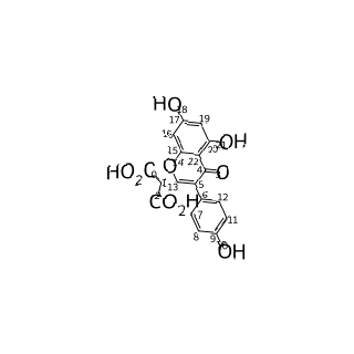 O=C(O)CC(=O)O.O=c1c(-c2ccc(O)cc2)coc2cc(O)cc(O)c12